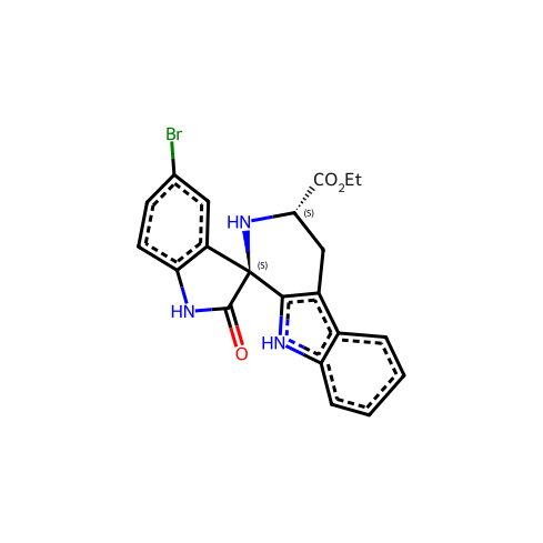 CCOC(=O)[C@@H]1Cc2c([nH]c3ccccc23)[C@]2(N1)C(=O)Nc1ccc(Br)cc12